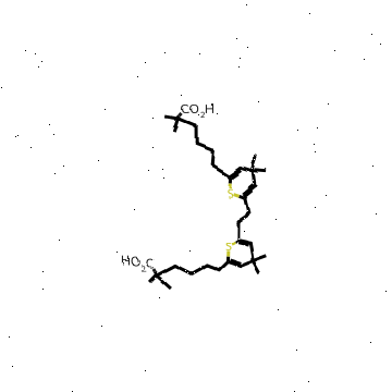 CC1(C)C=C(CCCCC(C)(C)C(=O)O)SC(CCC2=CC(C)(C)C=C(CCCCC(C)(C)C(=O)O)S2)=C1